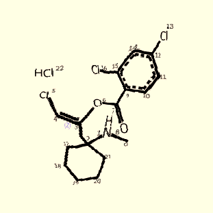 CNC1(/C(=C/Cl)OC(=O)c2ccc(Cl)cc2Cl)CCCCC1.Cl